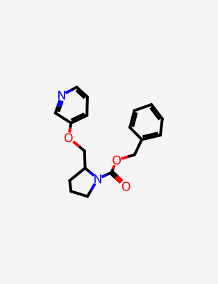 O=C(OCc1ccccc1)N1CCCC1COc1cccnc1